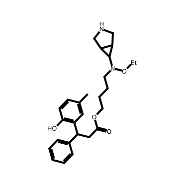 CCON(CCCCOC(=O)CC(c1ccccc1)c1cc(C)ccc1O)C1C2CNCC21